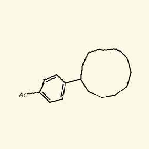 CC(=O)c1ccc(C2CCCCCCCCCC2)cc1